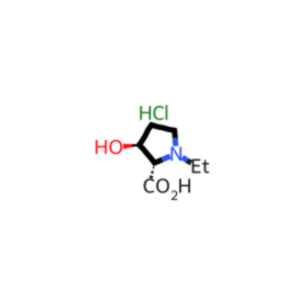 CCN1CC[C@H](O)[C@H]1C(=O)O.Cl